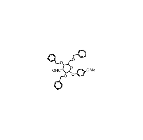 COc1ccc(O[C@@H]2O[C@H](COCc3ccccc3)[C@H](OCc3ccccc3)[C@@H](C=O)[C@H]2OCc2ccccc2)cc1